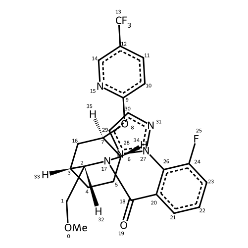 COC[C@@H]1[C@@H]2CC[C@@H]([C@H](Oc3ccc(C(F)(F)F)cn3)C2)N1C(=O)c1cccc(F)c1-n1nccn1